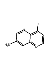 Cc1ccnc2cc(N)cnc12